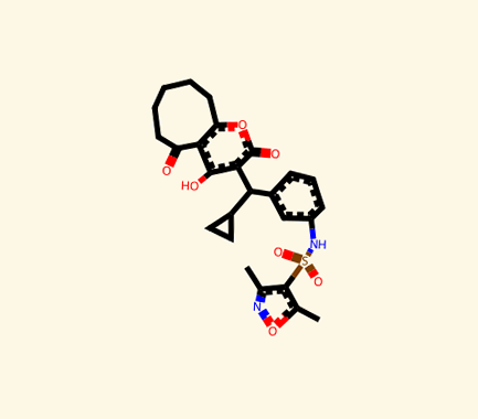 Cc1noc(C)c1S(=O)(=O)Nc1cccc(C(c2c(O)c3c(oc2=O)CCCCCC3=O)C2CC2)c1